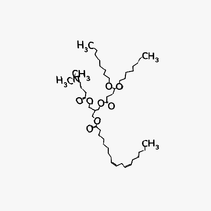 CCCCC/C=C\C/C=C\CCCCCCCC(=O)OCC(COC(=O)CCCN(C)C)COC(=O)CCC(OCCCCCCCC)OCCCCCCCC